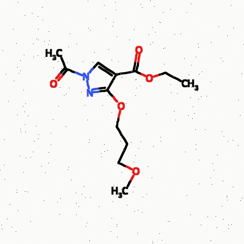 CCOC(=O)c1cn(C(C)=O)nc1OCCCOC